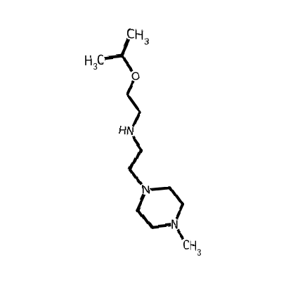 CC(C)OCCNCCN1CCN(C)CC1